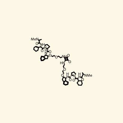 CN[C@@H](C)C(=O)N[C@H](C(=O)N1CCC[C@H]1C(=O)N[C@H]1c2ccccc2C[C@H]1OCCOCCNc1c(NCCOCCO[C@@H]2Cc3ccccc3[C@@H]2NC(=O)[C@@H]2CCCN2C(=O)[C@@H](NC(=O)[C@H](C)NC)C2CCCCC2)c(=O)c1=O)C1=CCCCC1